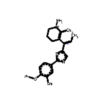 C/C=C(\C1=C(C)[C@H](N)CCC1)c1cnc(-c2ccc(OC(C)C)c(C#N)c2)s1